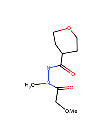 COCC(=O)N(C)[N]C(=O)C1CCOCC1